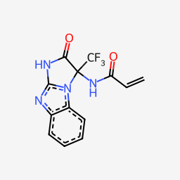 C=CC(=O)NC1(C(F)(F)F)C(=O)Nc2nc3ccccc3n21